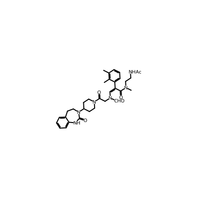 CC(=O)NCCN(C)C(=O)/C(=C\N(C=O)CC(=O)N1CCC(N2CCc3ccccc3NC2=O)CC1)c1cccc(C)c1C